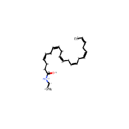 CC/C=C\C/C=C\C/C=C\C/C=C\C/C=C\C/C=C\CCC(=O)NCSC